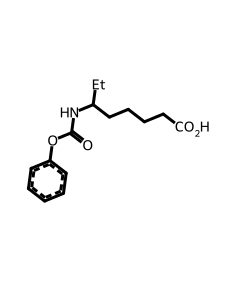 CCC(CCCCC(=O)O)NC(=O)Oc1ccccc1